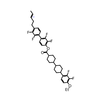 C/C=C/CCc1ccc(-c2ccc(OC(=O)C3CCC(C4CCC(c5ccc(OCC)c(F)c5F)CC4)CC3)c(F)c2F)c(F)c1F